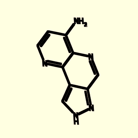 Nc1ccnc2c1ncc1n[nH]cc12